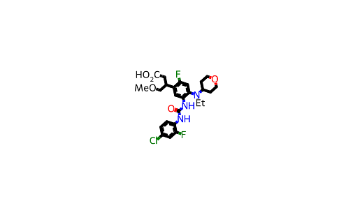 CCN(c1cc(F)c(C(COC)CC(=O)O)cc1NC(=O)Nc1ccc(Cl)cc1F)C1CCOCC1